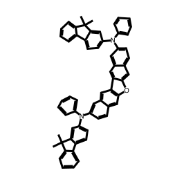 CC1(C)c2ccccc2-c2ccc(N(c3ccccc3)c3ccc4cc5oc6cc7ccc(N(c8ccccc8)c8ccc9c(c8)C(C)(C)c8ccccc8-9)cc7cc6c5cc4c3)cc21